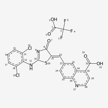 O=C(O)C(F)(F)F.O=C1N=C(Nc2c(Cl)cccc2Cl)S/C1=C\c1ccc2nccc(C(=O)O)c2c1